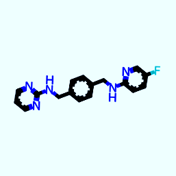 Fc1ccc(NCc2ccc(CNc3ncccn3)cc2)nc1